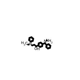 CCN(CCC(O)c1ccc(C(=NN)c2ccccc2)cc1)c1ccccc1